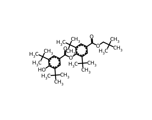 CC(C)(C)COC(=O)c1cc(C(C)(C)C)c(OC(=O)c2cc(C(C)(C)C)c(O)c(C(C)(C)C)c2)c(C(C)(C)C)c1